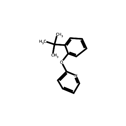 CC(C)(C)c1ccccc1Oc1ccccn1